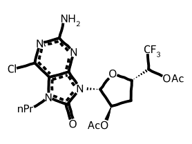 CCCn1c(=O)n([C@@H]2O[C@H](C(OC(C)=O)C(F)(F)F)C[C@H]2OC(C)=O)c2nc(N)nc(Cl)c21